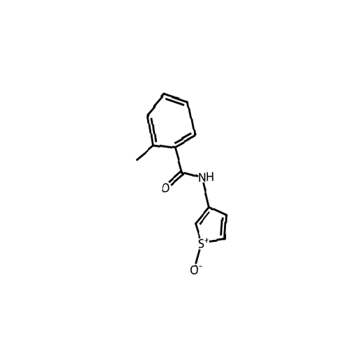 Cc1ccccc1C(=O)Nc1cc[s+]([O-])c1